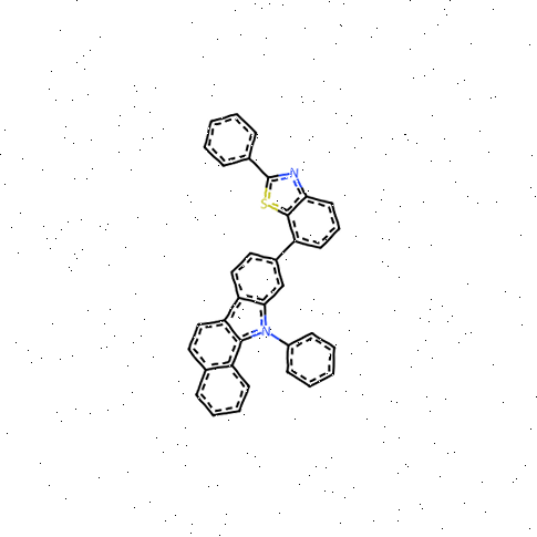 c1ccc(-c2nc3cccc(-c4ccc5c6ccc7ccccc7c6n(-c6ccccc6)c5c4)c3s2)cc1